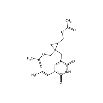 CC=Cc1cn(CC2(COC(C)=O)CC2COC(C)=O)c(=O)[nH]c1=O